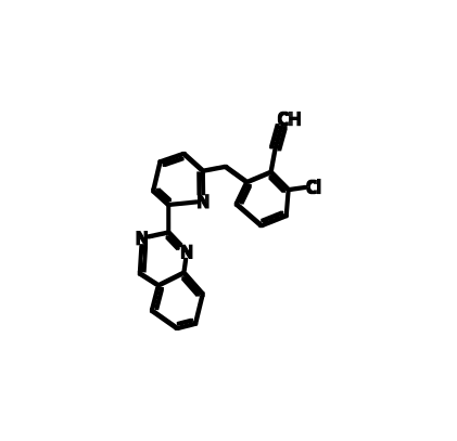 C#Cc1c(Cl)cccc1Cc1cccc(-c2ncc3ccccc3n2)n1